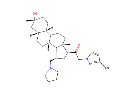 C[C@@]1(O)CC[C@@H]2C3CC[C@@]4(C)C([C@H](CN5CCCC5)C[C@@H]4C(=O)Cn4ccc(C#N)n4)[C@@H]3CC[C@@H]2C1